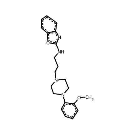 COc1ccccc1N1CCN(CCCNc2nc3ccccc3o2)CC1